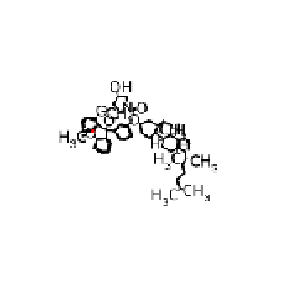 COc1ccccc1C(OC[C@@H]1C[C@@H](O)CN1C(=O)O[C@H]1CC[C@@]2(C)C(=CC[C@H]3[C@@H]4CC[C@H]([C@H](C)CCCC(C)C)[C@@]4(C)CC[C@@H]32)C1)(c1ccccc1)c1ccccc1OC